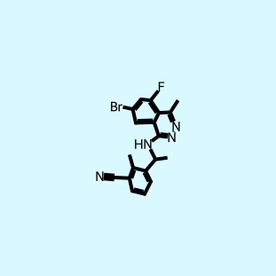 Cc1c(C#N)cccc1C(C)Nc1nnc(C)c2c(F)cc(Br)cc12